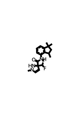 CC1CC(C)(C)c2cccc(NC(=O)C3(C(F)F)C=CN(C)N3)c21